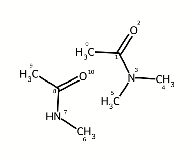 CC(=O)N(C)C.CNC(C)=O